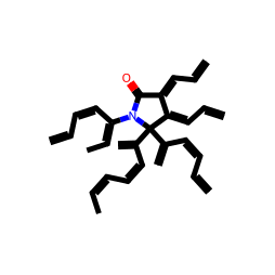 C=C/C=C\C(=C)C1(C(=C)/C=C\C=C/C)C(=C/C=C)/C(=C\C=C)C(=O)N1C(/C=C\C=C)=C/C